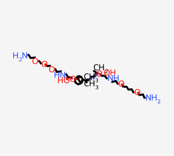 C=C/C(=C\C=C\C(C)(C)C1=C2CCCC(=C1)C(OCC(O)CNCCCOCCOCCOCCCN)C2)OCC(O)CNCCCOCCCCCOCCCN